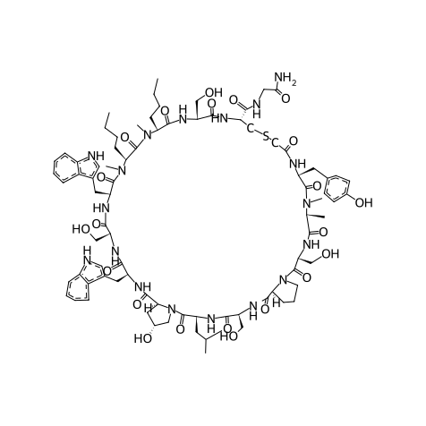 CCCC[C@H]1C(=O)N(C)[C@@H](CCCC)C(=O)N[C@@H](CO)C(=O)N[C@H](C(=O)NCC(N)=O)CSCC(=O)N[C@@H](Cc2ccc(O)cc2)C(=O)N(C)[C@@H](C)C(=O)N[C@@H](CO)C(=O)N2CCC[C@H]2C(=O)N[C@@H](CO)C(=O)N[C@@H](CC(C)C)C(=O)N2C[C@H](O)C[C@H]2C(=O)N[C@@H](Cc2c[nH]c3ccccc23)C(=O)N[C@@H](CO)C(=O)N[C@@H](Cc2c[nH]c3ccccc23)C(=O)N1C